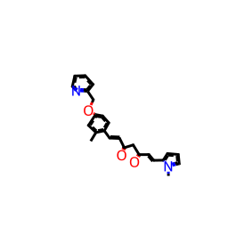 Cc1cc(OCc2ccccn2)ccc1C=CC(=O)CC(=O)C=Cc1cccn1C